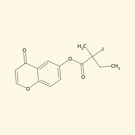 CCC(C)(I)C(=O)Oc1ccc2occc(=O)c2c1